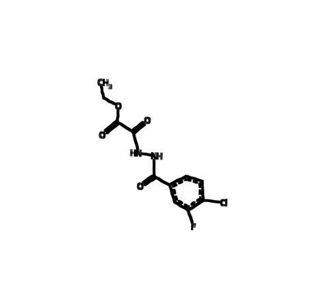 CCOC(=O)C(=O)NNC(=O)c1ccc(Cl)c(F)c1